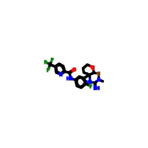 CN1SC2OCCCC2(c2cc(NC(=O)c3ccc(C(F)(F)F)cn3)ccc2F)NC1=N